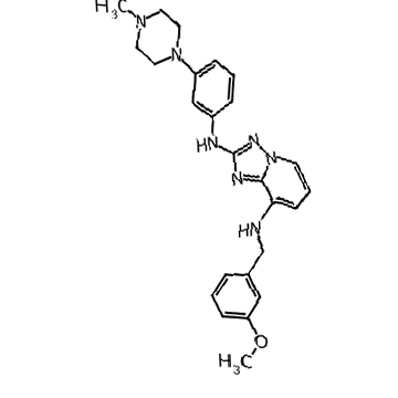 COc1cccc(CNc2cccn3nc(Nc4cccc(N5CCN(C)CC5)c4)nc23)c1